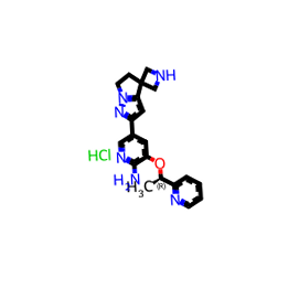 C[C@@H](Oc1cc(-c2cc3n(n2)CCC32CNC2)cnc1N)c1ccccn1.Cl